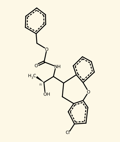 C[C@H](O)C(NC(=O)OCc1ccccc1)C1Cc2cc(Cl)ccc2Oc2ccccc21